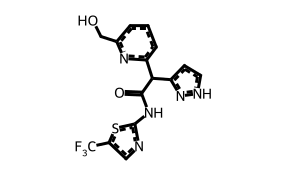 O=C(Nc1ncc(C(F)(F)F)s1)C(c1cc[nH]n1)c1cccc(CO)n1